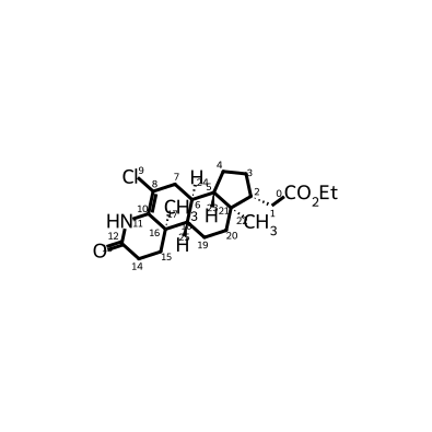 CCOC(=O)C[C@H]1CC[C@H]2[C@@H]3CC(Cl)=C4NC(=O)CC[C@]4(C)[C@H]3CC[C@]12C